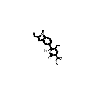 CCc1cc(C(=O)OC)c(=O)[nH]c1-c1ccc2c(c1)cc(CC)n2C